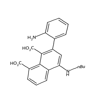 CCCCNc1cc(-c2ccccc2N)c(C(=O)O)c2c(C(=O)O)cccc12